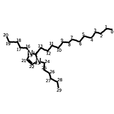 CCCCCCCCCCCCCCC1N(CCCCC)C=CN1CCCCCC